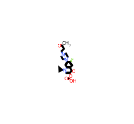 CC(=O)CCN1CCN(c2cc3c(cc2F)c(=O)c(OC(=O)O)cn3C2CC2)CC1